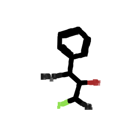 CCC(F)C(Br)C(C(=O)O)c1ccccc1